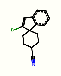 N#CC1CCC2(CC1)C(Br)=Cc1ccccc12